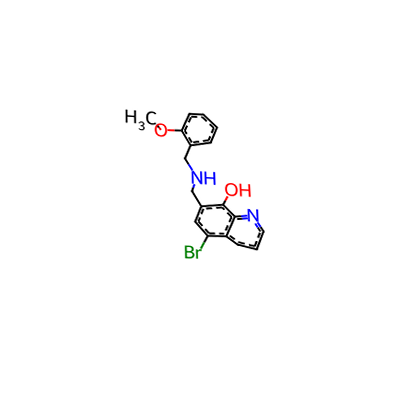 COc1ccccc1CNCc1cc(Br)c2cccnc2c1O